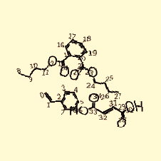 C=Cc1ccccc1.CCCCOC(=O)c1ccccc1C(=O)OCCCC.O=C(O)C=CC(=O)O